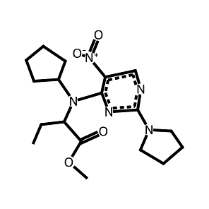 CCC(C(=O)OC)N(c1nc(N2CCCC2)ncc1[N+](=O)[O-])C1CCCC1